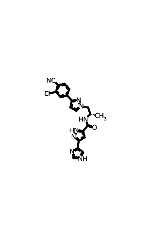 C[C@@H](Cn1ccc(-c2ccc(C#N)c(Cl)c2)n1)NC(=O)c1cc(-c2c[nH]cn2)n[nH]1